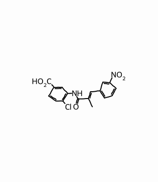 C/C(=C\c1cccc([N+](=O)[O-])c1)C(=O)Nc1cc(C(=O)O)ccc1Cl